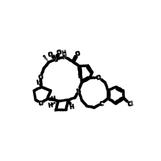 C[C@H]1CO[C@@H]2CCO[C@H](C2)[C@@H]2CC[C@H]2CN2CCCCc3cc(Cl)ccc3COc3ccc(cc32)C(=O)NS1(=O)=O